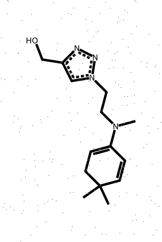 CN(CCn1cc(CO)nn1)C1=CCC(C)(C)C=C1